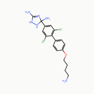 NCCCCOc1ccc(-c2c(Cl)cc(C3(N)N=C(N)NN3)cc2Cl)cc1